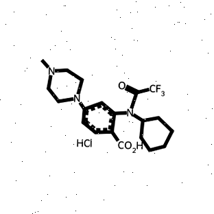 CN1CCN(c2ccc(C(=O)O)c(N(C(=O)C(F)(F)F)C3CCCCC3)c2)CC1.Cl